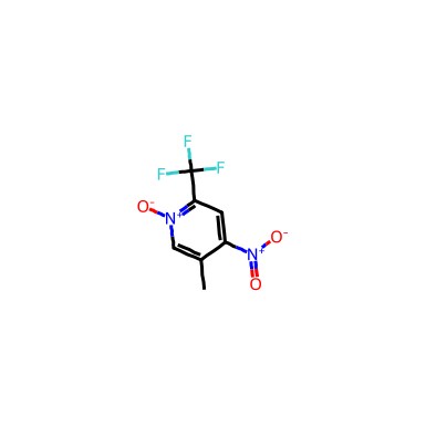 Cc1c[n+]([O-])c(C(F)(F)F)cc1[N+](=O)[O-]